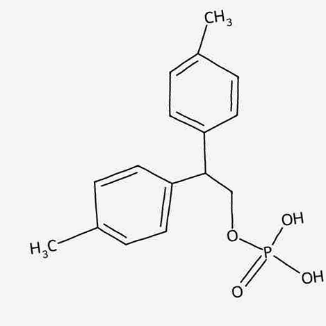 Cc1ccc(C(COP(=O)(O)O)c2ccc(C)cc2)cc1